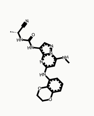 CNc1cc(Nc2cccc3c2OCCO3)nc2c(NC(=O)N[C@H](C)C#N)cnn12